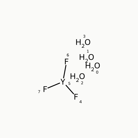 O.O.O.O.[F][Y]([F])[F]